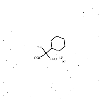 CC(C)(C)C(C(=O)[O-])(C(=O)[O-])C1CCCCC1.[K+].[Li+]